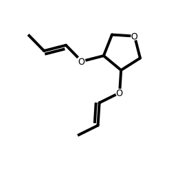 CC=COC1COCC1OC=CC